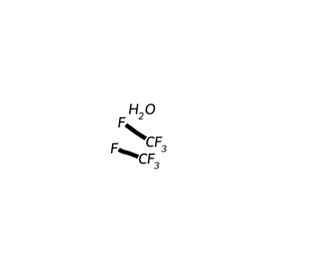 FC(F)(F)F.FC(F)(F)F.O